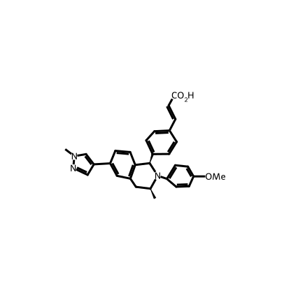 COc1ccc(N2[C@H](c3ccc(/C=C/C(=O)O)cc3)c3ccc(-c4cnn(C)c4)cc3C[C@@H]2C)cc1